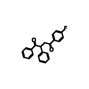 O=C(CC(C(=O)c1ccccc1)c1ccccc1)c1ccc(F)cc1